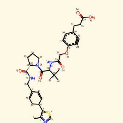 Cc1ncsc1C1C=CC(CNC(=O)[C@@H]2CCCN2C(=O)C(NC(=O)COc2c#cc(CCC(=O)O)cc2)C(C)(C)C)=CC1